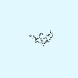 CCC(c1nccn1CC1CCCN1C)N(C)C(=O)O